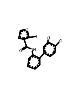 O=C(Nc1ccccc1-c1ccc(Cl)c(Cl)c1)c1ccoc1I